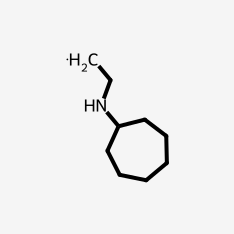 [CH2]CNC1CCCCCC1